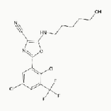 N#Cc1nc(-c2cc(Cl)cc(C(F)(F)F)c2Cl)oc1NCCCCCO